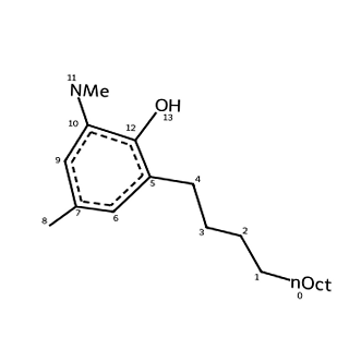 CCCCCCCCCCCCc1cc(C)cc(NC)c1O